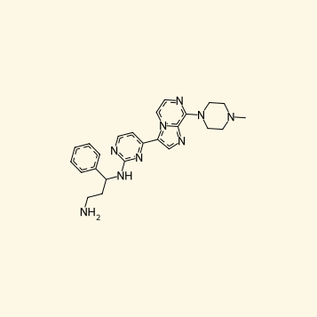 CN1CCN(c2nccn3c(-c4ccnc(NC(CCN)c5ccccc5)n4)cnc23)CC1